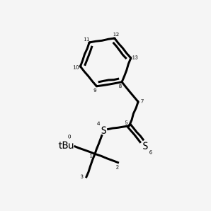 CC(C)(C)C(C)(C)SC(=S)Cc1ccccc1